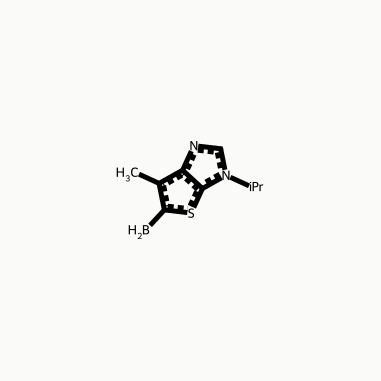 Bc1sc2c(ncn2C(C)C)c1C